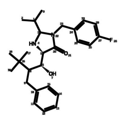 CC(C)C1N[C@@H]([C@H](O)[C](Cc2ccccc2)C(C)(C)C)C(=O)N1Cc1ccc(F)cc1